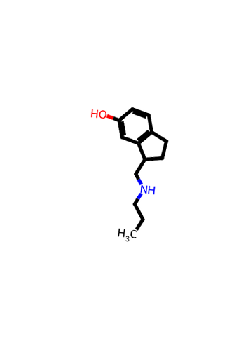 CCCNCC1CCc2ccc(O)cc21